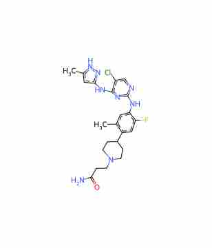 Cc1cc(Nc2nc(Nc3cc(C)c(C4CCN(CCC(N)=O)CC4)cc3F)ncc2Cl)n[nH]1